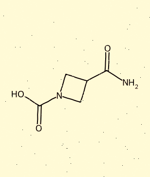 NC(=O)C1CN(C(=O)O)C1